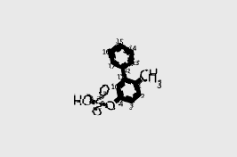 Cc1ccc(OS(=O)(=O)O)cc1-c1ccccc1